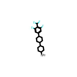 CCCC1CCC(C2CCC(c3cc(F)c(C(F)F)c(F)c3)CC2)CC1